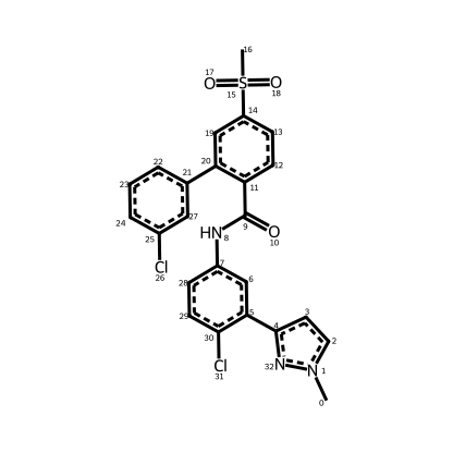 Cn1ccc(-c2cc(NC(=O)c3ccc(S(C)(=O)=O)cc3-c3cccc(Cl)c3)ccc2Cl)n1